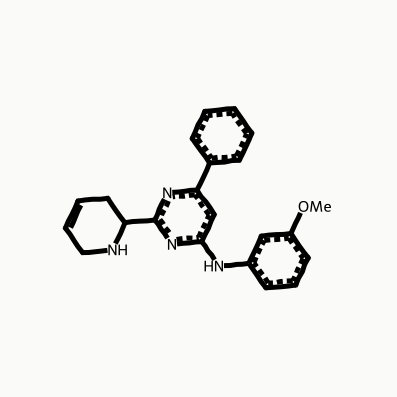 COc1cccc(Nc2cc(-c3ccccc3)nc(C3CC=CCN3)n2)c1